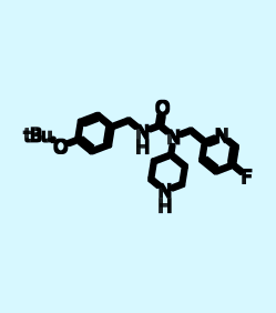 CC(C)(C)Oc1ccc(CNC(=O)N(Cc2ccc(F)cn2)C2CCNCC2)cc1